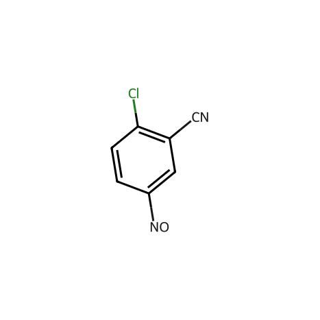 N#Cc1cc(N=O)ccc1Cl